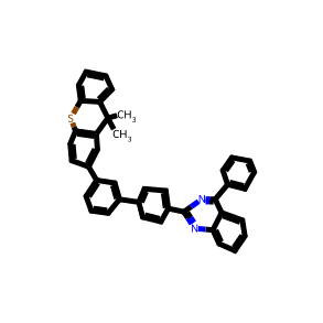 CC1(C)c2ccccc2Sc2ccc(-c3cccc(-c4ccc(-c5nc(-c6ccccc6)c6ccccc6n5)cc4)c3)cc21